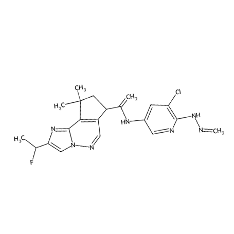 C=NNc1ncc(NC(=C)C2CC(C)(C)c3c2cnn2cc(C(C)F)nc32)cc1Cl